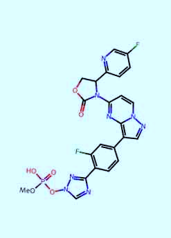 COP(=O)(O)On1cnc(-c2ccc(-c3cnn4ccc(N5C(=O)OCC5c5ccc(F)cn5)nc34)cc2F)n1